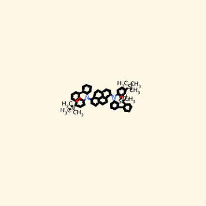 C[Si](C)(C)c1ccc(N(c2ccccc2-c2ccccc2)c2ccc3ccc4c(N(c5ccc([Si](C)(C)C)cc5)c5cccc6c5[Si](C)(C)c5ccccc5-6)ccc5ccc2c3c54)cc1